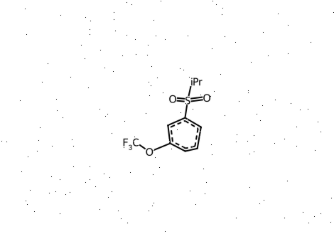 CC(C)S(=O)(=O)c1cccc(OC(F)(F)F)c1